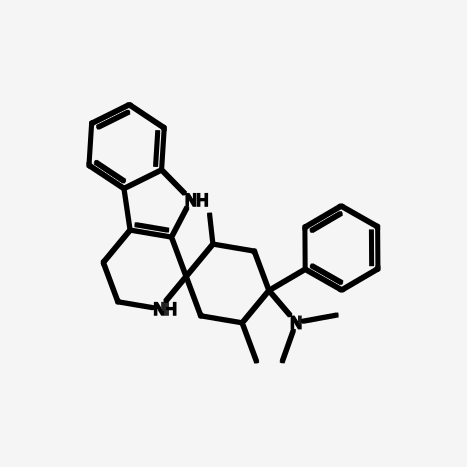 CC1CC(c2ccccc2)(N(C)C)C(C)CC12NCCc1c2[nH]c2ccccc12